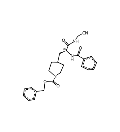 N#CCNC(=O)[C@H](CC1CCN(C(=O)OCc2ccccc2)CC1)NC(=O)c1ccccc1